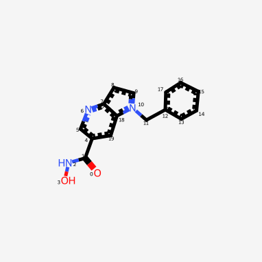 O=C(NO)c1cnc2ccn(Cc3ccccc3)c2c1